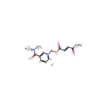 COC(=O)C=CC(=O)OC[n+]1cccc(C(=O)N(C)C)c1.[I-]